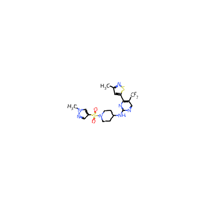 Cc1cc(-c2nc(NC3CCN(S(=O)(=O)c4cnn(C)c4)CC3)ncc2C(F)(F)F)sn1